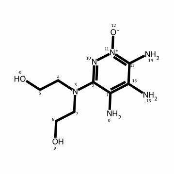 Nc1c(N(CCO)CCO)n[n+]([O-])c(N)c1N